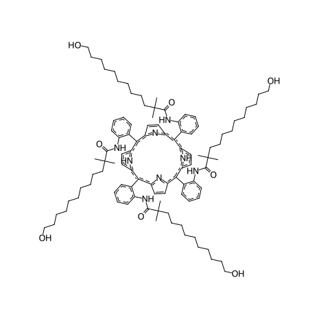 CC(C)(CCCCCCCCCCO)C(=O)Nc1ccccc1-c1c2nc(c(-c3ccccc3NC(=O)C(C)(C)CCCCCCCCCCO)c3ccc([nH]3)c(-c3ccccc3NC(=O)C(C)(C)CCCCCCCCCCO)c3nc(c(-c4ccccc4NC(=O)C(C)(C)CCCCCCCCCCO)c4ccc1[nH]4)C=C3)C=C2